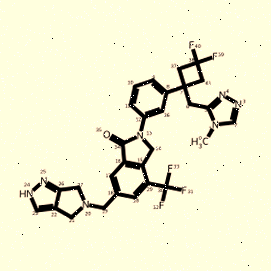 Cn1cnnc1CC1(c2cccc(N3Cc4c(cc(CN5Cc6c[nH]nc6C5)cc4C(F)(F)F)C3=O)c2)CC(F)(F)C1